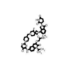 CNC(=O)COc1cc2cc(Nc3nc(N4CCC(CN5CCC6(CN(c7cccc8c7CN([C@@H]7CCC(=O)NC7=O)C8=O)C6)C(F)C5)CC4)ncc3Cl)ccc2n(C(C)C)c1=O